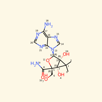 CC1(C)[C@@]2(O)[C@](CO)(C(N)=O)O[C@@H](n3cnc4c(N)ncnc43)[C@@]12O